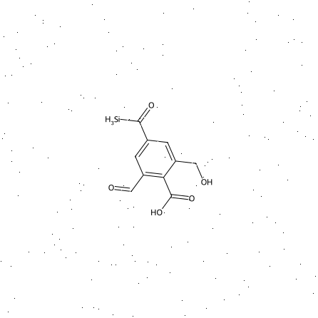 O=Cc1cc(C(=O)[SiH3])cc(CO)c1C(=O)O